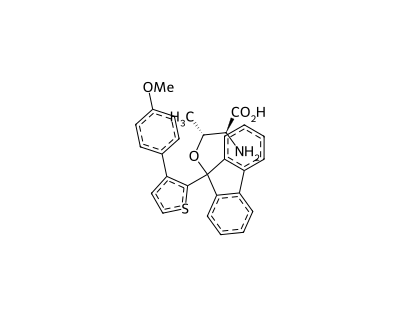 COc1ccc(-c2ccsc2C2(O[C@H](C)[C@H](N)C(=O)O)c3ccccc3-c3ccccc32)cc1